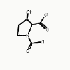 O=C(Cl)C1C(O)CCN1C(=O)Cl